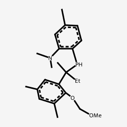 CCC(C)(Pc1ccc(C)cc1N(C)C)c1cc(C)cc(C)c1OCOC